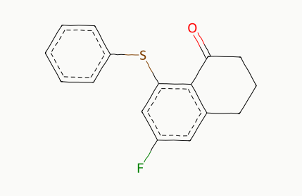 O=C1CCCc2cc(F)cc(Sc3ccccc3)c21